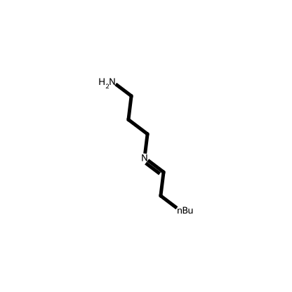 CCCCCC=NCCCN